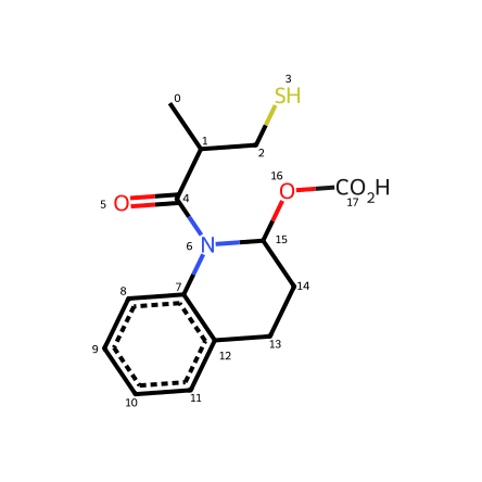 CC(CS)C(=O)N1c2ccccc2CCC1OC(=O)O